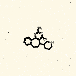 Nc1nc(N)c2c(n1)-c1ccccc1CCC2C1CCCNC1